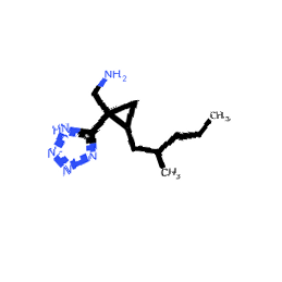 CCCC(C)CC1CC1(CN)c1nnn[nH]1